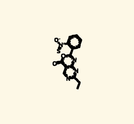 CCc1ncc2c(=O)oc(-c3ccccc3[N+]([O-])=S)nc2n1